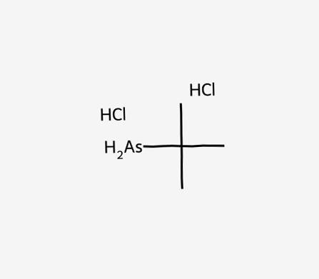 CC(C)(C)[AsH2].Cl.Cl